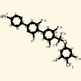 CCCc1ccc(-c2cc(F)c(-c3cc(F)c(C(F)(F)Oc4cc(F)c(C(F)(F)F)c(F)c4)c(F)c3)c(F)c2)cc1